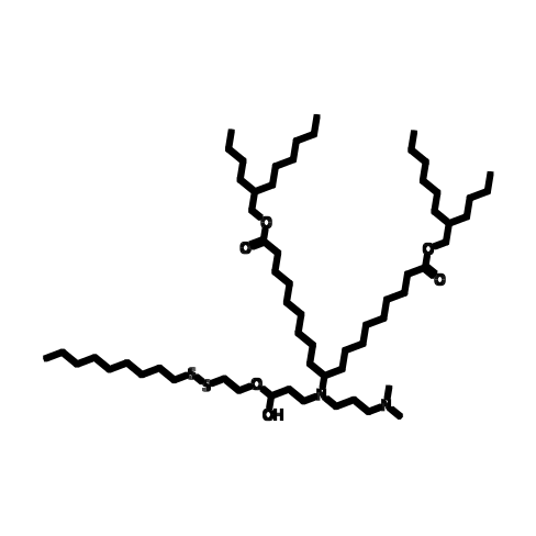 CCCCCCCCCSSCCOC(O)CCN(CCCN(C)C)C(CCCCCCCCC(=O)OCC(CCCC)CCCCCC)CCCCCCCCC(=O)OCC(CCCC)CCCCCC